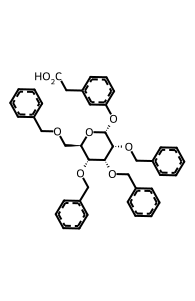 O=C(O)Cc1cccc(O[C@H]2O[C@H](COCc3ccccc3)[C@@H](OCc3ccccc3)[C@@H](OCc3ccccc3)[C@H]2OCc2ccccc2)c1